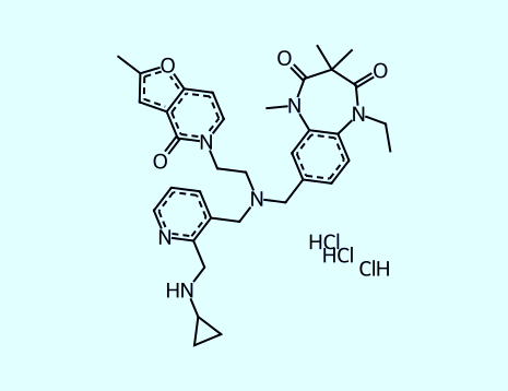 CCN1C(=O)C(C)(C)C(=O)N(C)c2cc(CN(CCn3ccc4oc(C)cc4c3=O)Cc3cccnc3CNC3CC3)ccc21.Cl.Cl.Cl